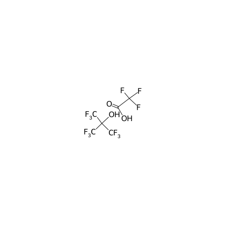 O=C(O)C(F)(F)F.OC(C(F)(F)F)(C(F)(F)F)C(F)(F)F